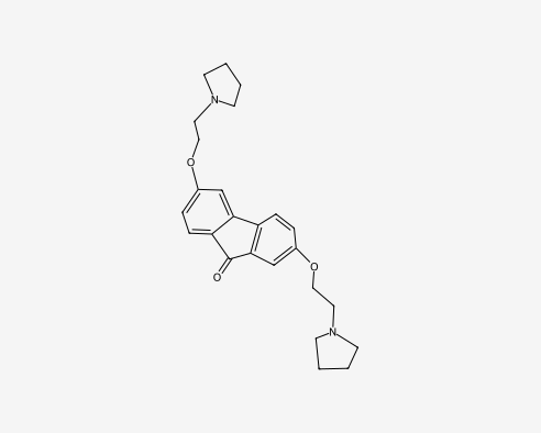 O=C1c2cc(OCCN3CCCC3)ccc2-c2cc(OCCN3CCCC3)ccc21